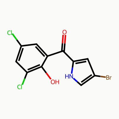 O=C(c1cc(Br)c[nH]1)c1cc(Cl)cc(Cl)c1O